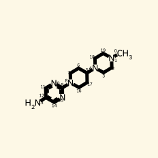 CN1CCN(C2CCN(c3ncc(N)cn3)CC2)CC1